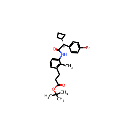 Cc1c(CCC(=O)OC(C)(C)C)cccc1NC(=O)[C@@H](c1ccc(Br)cc1)C1CCC1